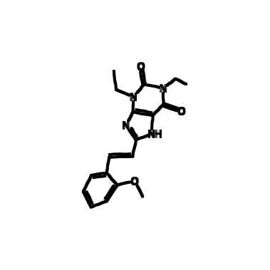 CCn1c(=O)c2[nH]c(/C=C/c3ccccc3OC)nc2n(CC)c1=O